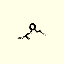 COC(=O)COc1ccccc1CCN